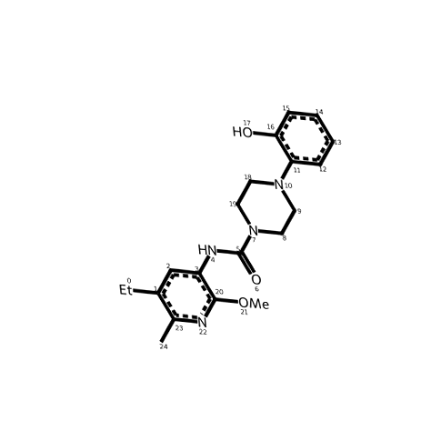 CCc1cc(NC(=O)N2CCN(c3ccccc3O)CC2)c(OC)nc1C